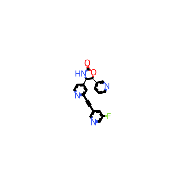 O=C1N[C@H](c2ccnc(C#Cc3cncc(F)c3)c2)[C@@H](c2cccnc2)O1